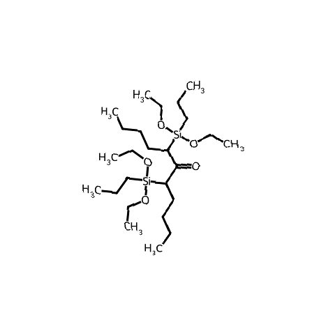 CCCCC(C(=O)C(CCCC)[Si](CCC)(OCC)OCC)[Si](CCC)(OCC)OCC